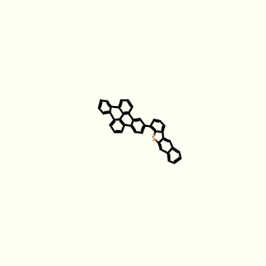 c1ccc2cc3c(cc2c1)sc1c(-c2ccc4c(c2)c2cccc5c6ccccc6c6cccc4c6c52)cccc13